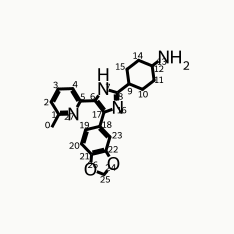 Cc1cccc(-c2[nH]c(C3CCC(N)CC3)nc2-c2ccc3c(c2)OCO3)n1